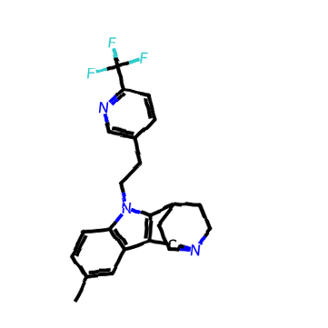 Cc1ccc2c(c1)c1c(n2CCc2ccc(C(F)(F)F)nc2)C2CCN(CC2)C1